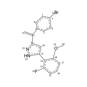 C=C(c1ccc(Br)cc1)c1cc(-c2c(F)cccc2OC)[nH]n1